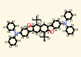 CC(C)(C)c1c2cc3c(oc4cc(N(c5ccccc5)c5ccccc5)ccc43)c(C(C)(C)C)c2cc2c1oc1cc(N(c3ccccc3)c3ccccc3)ccc12